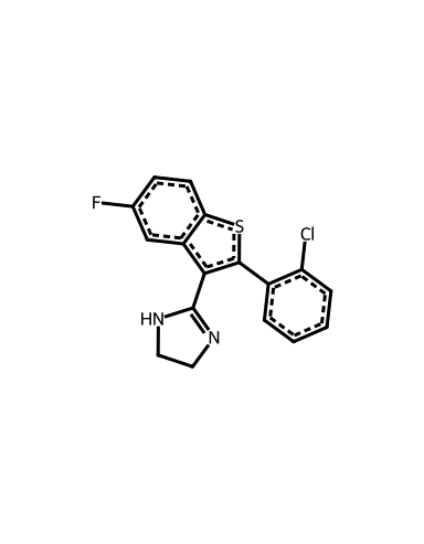 Fc1ccc2sc(-c3ccccc3Cl)c(C3=NCCN3)c2c1